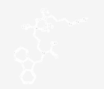 C[Si](C)(CCCN=[N+]=[N-])O[Si](C)(C)CCCN(CC1c2ccccc2-c2ccccc21)C(=O)O